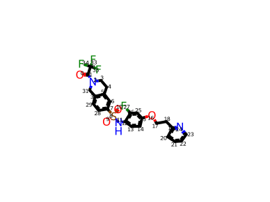 O=C(N1CCc2cc(S(=O)(=O)Nc3ccc(OCCc4ccccn4)cc3F)ccc2C1)C(F)(F)F